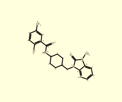 Cn1c(=O)n(CC2CCC(NC(=O)c3cc(C(F)(F)F)ccc3Cl)CC2)c2ncccc21